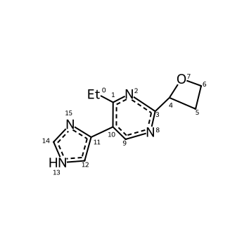 CCc1nc(C2CCO2)ncc1-c1c[nH]cn1